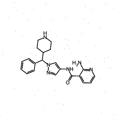 Nc1ncccc1C(=O)Nc1cnn(C(c2ccccc2)C2CCNCC2)c1